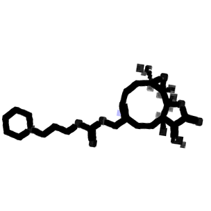 C=C1C(=O)O[C@H]2[C@H]1CC/C(COC(=O)OCCCN1CCCCC1)=C\CC[C@@]1(C)O[C@@H]21